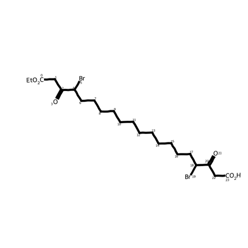 CCOC(=O)CC(=O)C(Br)CCCCCCCCCCCCC(Br)C(=O)CC(=O)O